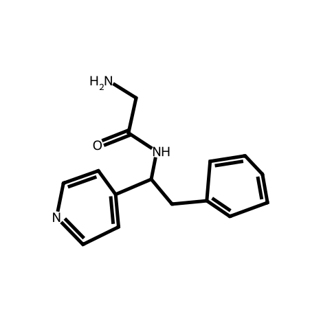 NCC(=O)NC(Cc1ccccc1)c1ccncc1